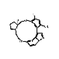 Cc1cc(Cl)c2cc1-c1cnn3ccc(nc13)NCCN1CCC[C@H]1CO2